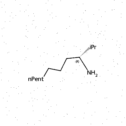 CCCCCCCC[C@@H](N)C(C)C